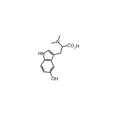 CN(C)C(Cc1c[nH]c2ccc(O)cc12)C(=O)O